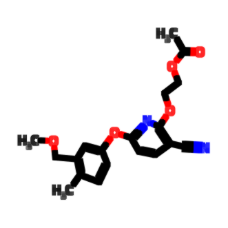 COCc1cc(Oc2ccc(C#N)c(OCCOC(C)=O)n2)ccc1C